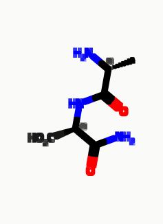 C[C@@H](N)C(=O)N[C@@H](C(N)=O)C(=O)O